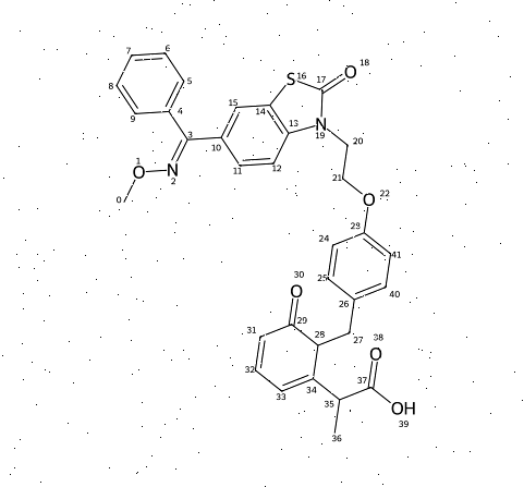 CON=C(c1ccccc1)c1ccc2c(c1)sc(=O)n2CCOc1ccc(CC2C(=O)C=CC=C2C(C)C(=O)O)cc1